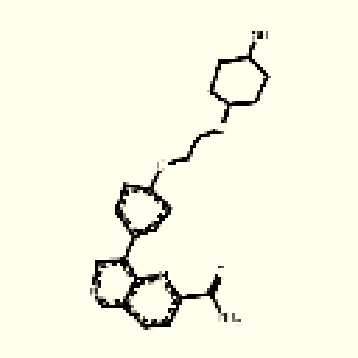 NC(=O)c1ccc2cncc(-c3ccc(OCCOC4CCC(O)CC4)cc3)c2n1